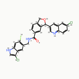 O=C(NCc1cc2c(Cl)c[nH]c2cc1F)c1ccc2c(c1)C(c1cnc3ccc(Cl)cc3c1)OC2